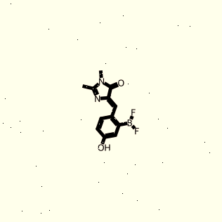 CC1=NC(=Cc2ccc(O)cc2B(F)F)C(=O)N1C